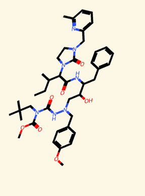 CCC(C)C(C(=O)NC(Cc1ccccc1)C(O)CN(Cc1ccc(OC)cc1)NC(=O)N(CC(C)(C)C)C(=O)OC)N1CCN(Cc2cccc(C)n2)C1=O